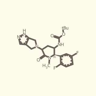 CN1C(=O)C(N2Cc3cn[nH]c3C2)CC(NC(=O)OC(C)(C)C)[C@H]1c1cc(F)ccc1F